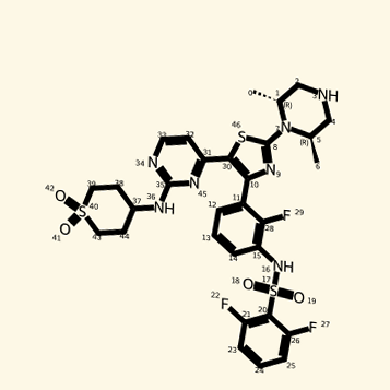 C[C@@H]1CNC[C@@H](C)N1c1nc(-c2cccc(NS(=O)(=O)c3c(F)cccc3F)c2F)c(-c2ccnc(NC3CCS(=O)(=O)CC3)n2)s1